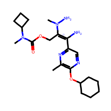 Cc1nc(/C(N)=C(\COC(=O)N(C)C2CCC2)N(C)N)cnc1OC1CCCCC1